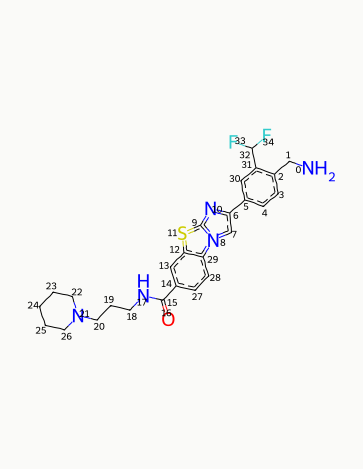 NCc1ccc(-c2cn3c(n2)sc2cc(C(=O)NCCCN4CCCCC4)ccc23)cc1C(F)F